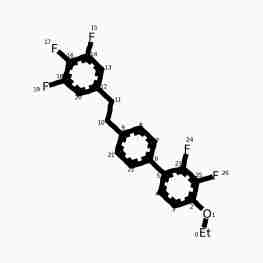 CCOc1ccc(-c2ccc(CCc3cc(F)c(F)c(F)c3)cc2)c(F)c1F